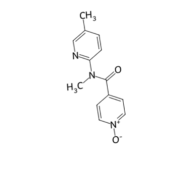 Cc1ccc(N(C)C(=O)c2cc[n+]([O-])cc2)nc1